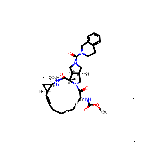 CC(C)(C)OC(=O)N[C@@H]1CCCCC/C=C\[C@H]2C[C@@]2(C(=O)O)NC(=O)[C@@H]2[C@H]3CN(C(=O)N4CCc5ccccc5C4)C[C@H]3CN2C1=O